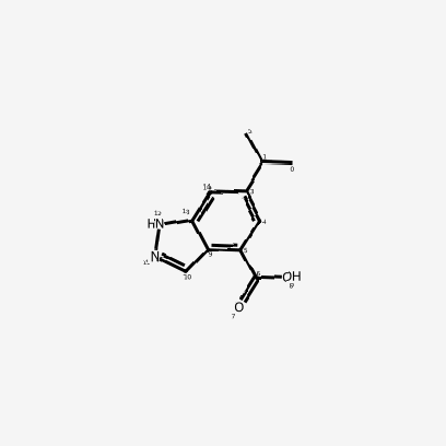 CC(C)c1cc(C(=O)O)c2cn[nH]c2c1